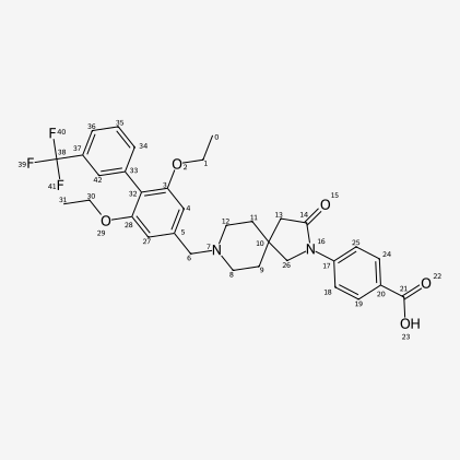 CCOc1cc(CN2CCC3(CC2)CC(=O)N(c2ccc(C(=O)O)cc2)C3)cc(OCC)c1-c1cccc(C(F)(F)F)c1